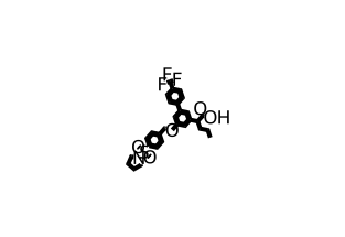 CCCC(C(=O)O)c1cc(OCc2ccc(S(=O)(=O)N3CCCC3)cc2)cc(-c2ccc(C(F)(F)F)cc2)c1